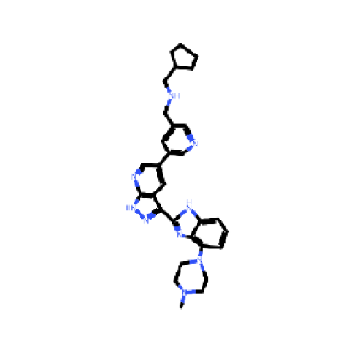 CN1CCN(c2cccc3[nH]c(-c4n[nH]c5ncc(-c6cncc(CNCC7CCCC7)c6)cc45)nc23)CC1